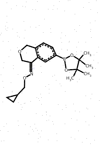 CC1(C)OB(c2ccc3c(c2)/C(=N/OCC2CC2)COC3)OC1(C)C